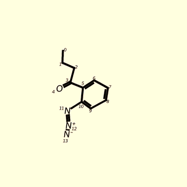 CCCC(=O)c1ccccc1N=[N+]=[N-]